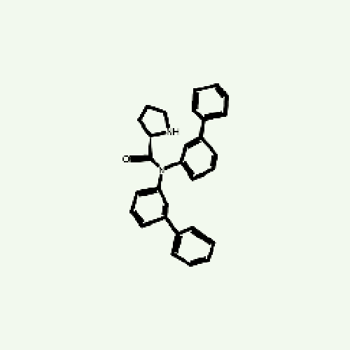 O=C([C@H]1CCCN1)N(c1cccc(-c2ccccc2)c1)c1cccc(-c2ccccc2)c1